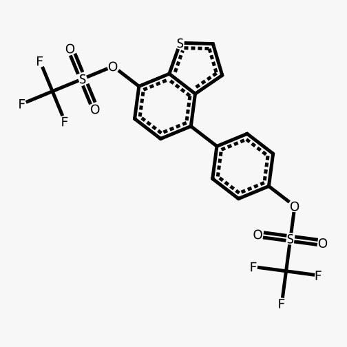 O=S(=O)(Oc1ccc(-c2ccc(OS(=O)(=O)C(F)(F)F)c3sccc23)cc1)C(F)(F)F